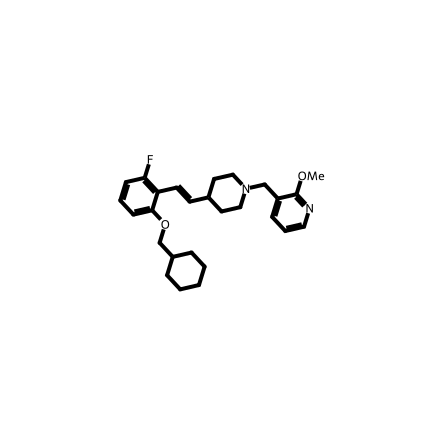 COc1ncccc1CN1CCC(C=Cc2c(F)cccc2OCC2CCCCC2)CC1